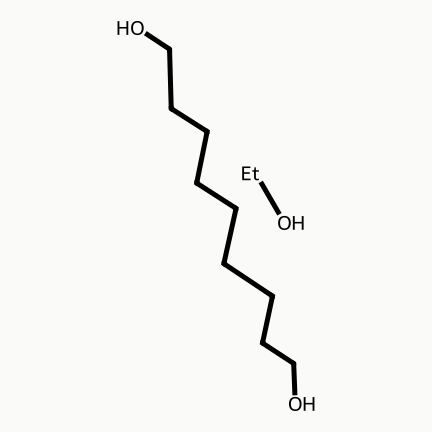 CCO.OCCCCCCCCCO